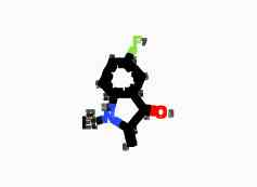 C=C1C(=O)c2cc(F)ccc2N1CC